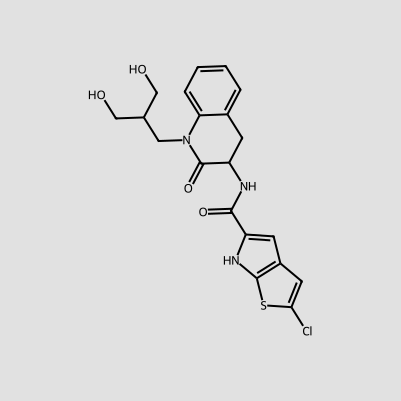 O=C(NC1Cc2ccccc2N(CC(CO)CO)C1=O)c1cc2cc(Cl)sc2[nH]1